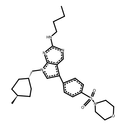 CCCCNc1ncc2c(-c3ccc(S(=O)(=O)N4CCOCC4)cc3)cn(C[C@H]3CC[C@H](C)CC3)c2n1